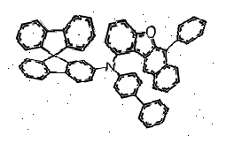 c1ccc(-c2ccc(N(c3ccc4c(c3)C3(c5ccccc5-c5ccccc53)c3ccccc3-4)c3cccc4oc5c(-c6ccccc6)c6ccccc6cc5c34)cc2)cc1